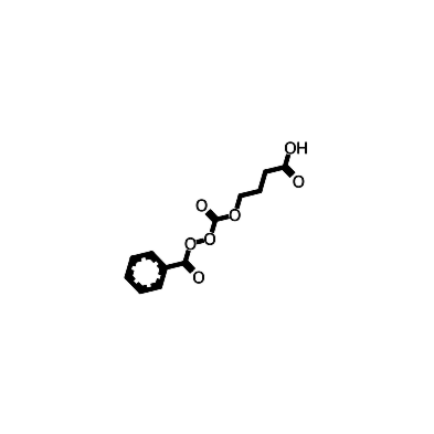 O=C(O)CCCOC(=O)OOC(=O)c1ccccc1